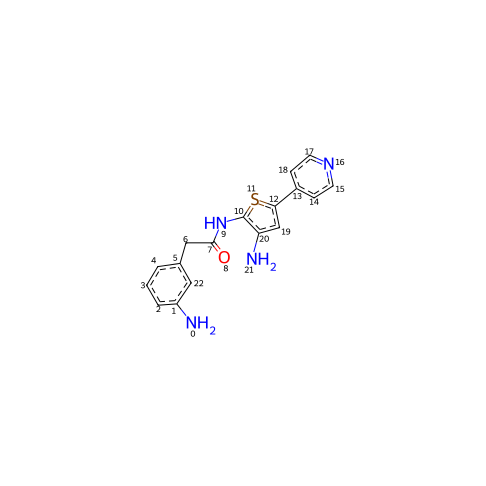 Nc1cccc(CC(=O)Nc2sc(-c3ccncc3)cc2N)c1